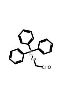 O=C[CH2][Au][PH](c1ccccc1)(c1ccccc1)c1ccccc1